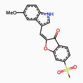 COc1ccc2[nH]cc(/C=C3/Oc4cc(S(C)(=O)=O)ccc4C3=O)c2c1